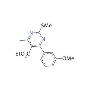 CCOC(=O)c1c(C)nc(SC)nc1-c1cccc(OC)c1